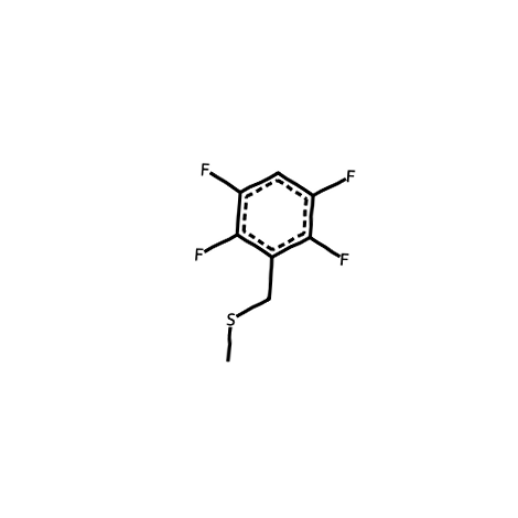 CSCc1c(F)c(F)cc(F)c1F